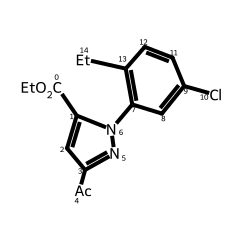 CCOC(=O)c1cc(C(C)=O)nn1-c1cc(Cl)ccc1CC